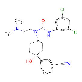 CN(C)CCN(C(=O)Nc1cc(Cl)cc(Cl)c1)[C@H]1CC[C@](O)(c2cccc(C#N)c2)CC1